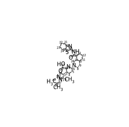 Cc1c(-c2ccc(N3CCc4cccc(C(=O)Nc5nc6ccccc6s5)c4C3)nc2C(=O)O)cnn1CC(C)C